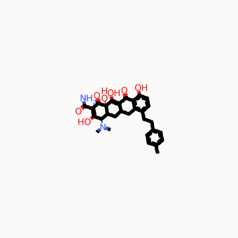 Cc1ccc(CCc2ccc(O)c3c2CC2CC4[C@H](N(C)C)C(O)=C(C(N)=O)C(=O)[C@@]4(O)C(O)=C2C3=O)cc1